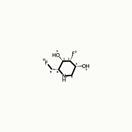 O[C@@H]1[C@H](F)[C@H](O)CN[C@@H]1CF